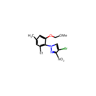 CCc1cc(C)cc(OCOC)c1-n1cc(Br)c([N+](=O)[O-])n1